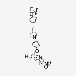 C[C@]1(COc2ccc(N3CCC(CCc4ccc(OC(F)(F)F)cc4)CC3)cc2)Cn2cc([N+](=O)[O-])nc2O1